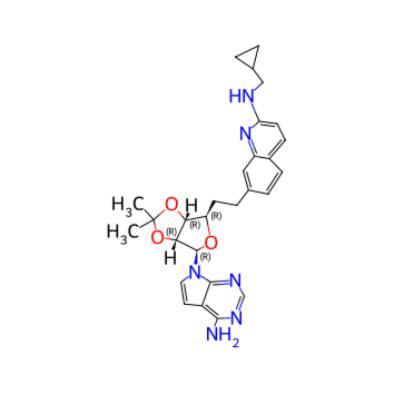 CC1(C)O[C@@H]2[C@H](O1)[C@@H](CCc1ccc3ccc(NCC4CC4)nc3c1)O[C@H]2n1ccc2c(N)ncnc21